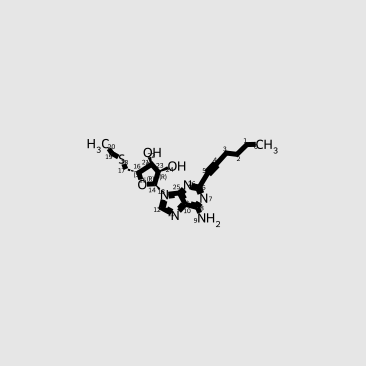 CCCCC#Cc1nc(N)c2ncn([C@@H]3O[C@H](CSCC)[C@@H](O)[C@H]3O)c2n1